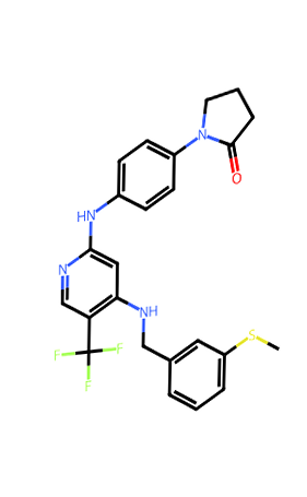 CSc1cccc(CNc2cc(Nc3ccc(N4CCCC4=O)cc3)ncc2C(F)(F)F)c1